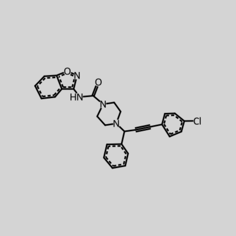 O=C(Nc1noc2ccccc12)N1CCN(C(C#Cc2ccc(Cl)cc2)c2ccccc2)CC1